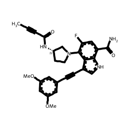 CC#CC(=O)N[C@H]1CCN(c2c(F)cc(C(N)=O)c3[nH]cc(C#Cc4cc(OC)cc(OC)c4)c23)C1